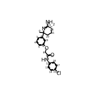 CC1(c2cccc(OCC(=O)Nc3ccc(Cl)cc3)c2)CCSC(N)=N1